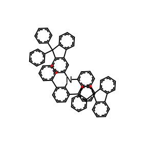 c1ccc(-c2cccc(-c3ccccc3)c2N(c2ccc3c(c2)-c2ccccc2C3(c2ccccc2)c2ccccc2)c2cccc3c2-c2ccccc2C32c3ccccc3-c3ccccc32)cc1